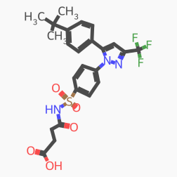 CC(C)(C)c1ccc(-c2cc(C(F)(F)F)nn2-c2ccc(S(=O)(=O)NC(=O)CCC(=O)O)cc2)cc1